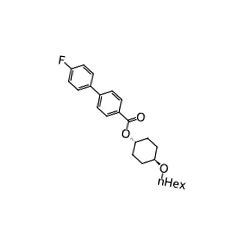 CCCCCCO[C@H]1CC[C@H](OC(=O)c2ccc(-c3ccc(F)cc3)cc2)CC1